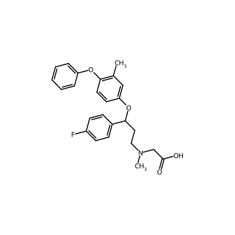 Cc1cc(OC(CCN(C)CC(=O)O)c2ccc(F)cc2)ccc1Oc1ccccc1